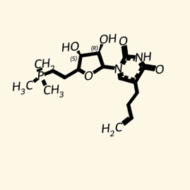 C=CCCc1cn(C2OC(CCP(=C)(C)C)[C@@H](O)[C@H]2O)c(=O)[nH]c1=O